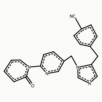 N#Cc1ccc(Cc2cncn2Cc2ccc(-n3ccccc3=O)nc2)cc1